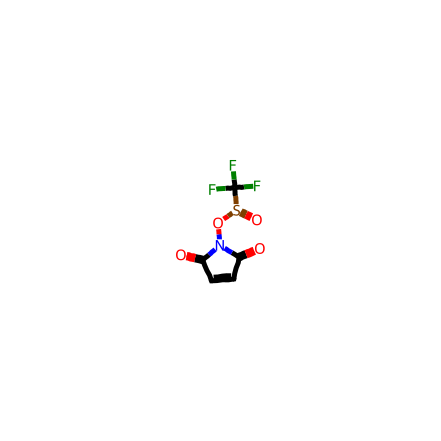 O=C1C=CC(=O)N1OS(=O)C(F)(F)F